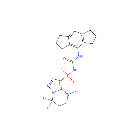 CN1CCC(F)(F)n2ncc(S(=O)(=O)NC(=O)Nc3c4c(cc5c3CCC5)CCC4)c21